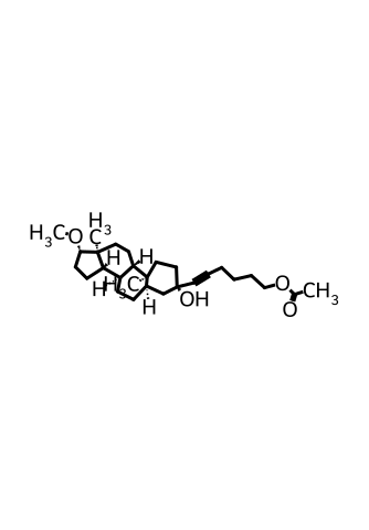 CO[C@H]1CC[C@H]2[C@@H]3CC[C@@H]4C[C@@](O)(C#CCCCCOC(C)=O)CC[C@]4(C)[C@H]3CC[C@]12C